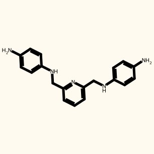 Nc1ccc(NCc2cccc(CNc3ccc(N)cc3)n2)cc1